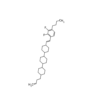 C=CCCC1CCC(C2CCC(C3CCC(/C=C/c4ccc(CCCC)c(F)c4F)CC3)CC2)CC1